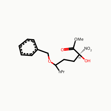 CCCC(CC[C@](O)(C(=O)OC)[N+](=O)[O-])OCc1ccccc1